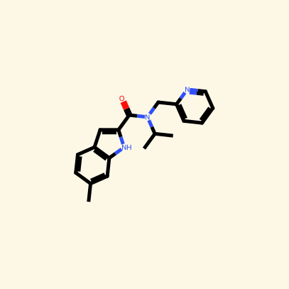 Cc1ccc2cc(C(=O)N(Cc3ccccn3)C(C)C)[nH]c2c1